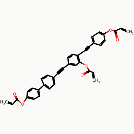 C=CC(=O)Oc1ccc(C#Cc2ccc(C#Cc3ccc(-c4ccc(OC(=O)C=C)cc4)cc3)cc2OC(=O)C=C)cc1